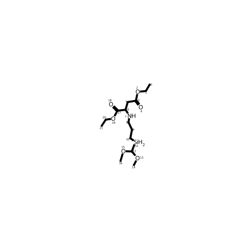 CCOC(=O)CC(NCCC[SiH2]C(OC)OC)C(=O)OCC